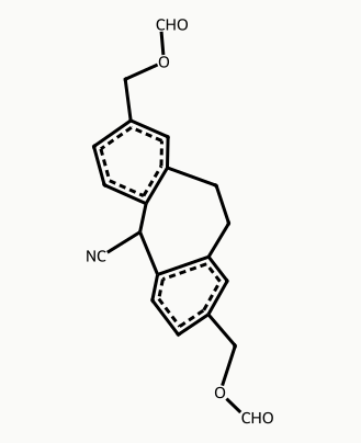 N#CC1c2ccc(COC=O)cc2CCc2cc(COC=O)ccc21